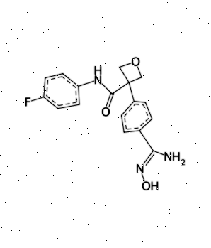 N/C(=N\O)c1ccc(C2(C(=O)Nc3ccc(F)cc3)COC2)cc1